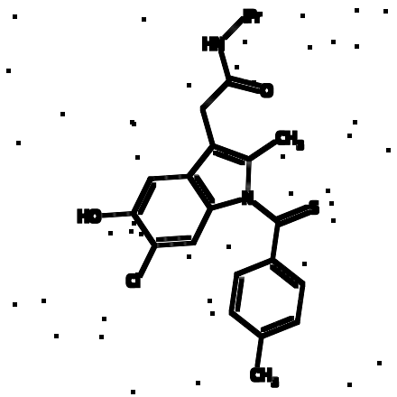 Cc1ccc(C(=S)n2c(C)c(CC(=O)NC(C)C)c3cc(O)c(Cl)cc32)cc1